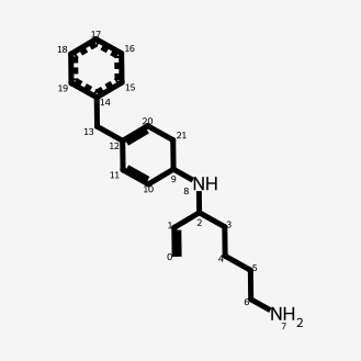 C=CC(CCCCN)NC1C=CC(Cc2ccccc2)=CC1